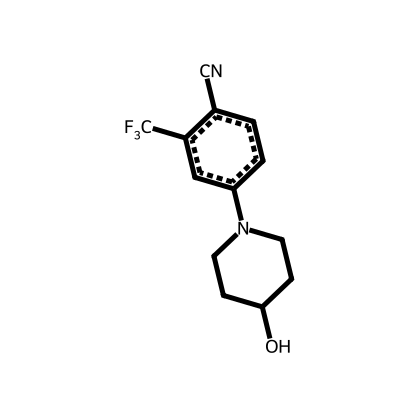 N#Cc1ccc(N2CCC(O)CC2)cc1C(F)(F)F